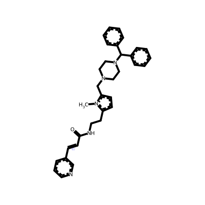 Cn1c(CCNC(=O)/C=C/c2cccnc2)ccc1CN1CCN(C(c2ccccc2)c2ccccc2)CC1